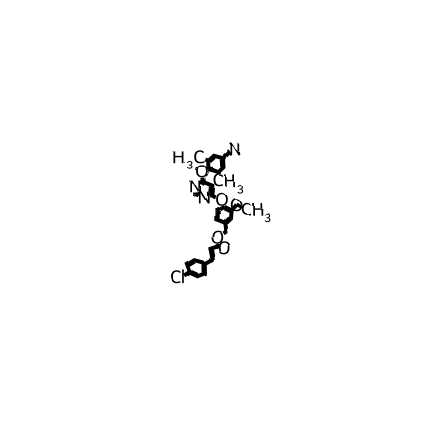 COc1cc(COC(=O)/C=C/c2ccc(Cl)cc2)ccc1Oc1cc(Oc2c(C)cc(C#N)cc2C)ncn1